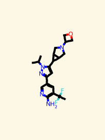 CC(C)n1nc(-c2cnc(N)c(C(C)(F)F)c2)cc1C1C2CN(C3COC3)CC21